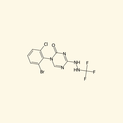 O=c1nc(NNC(F)(F)F)ncn1-c1c(Cl)cccc1Br